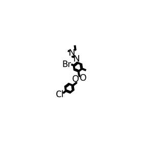 CCN(C)/C=N/c1cc(C)c(C(=O)OCc2ccc(Cl)cc2)cc1Br